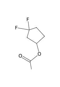 CC(=O)OC1CCC(F)(F)C1